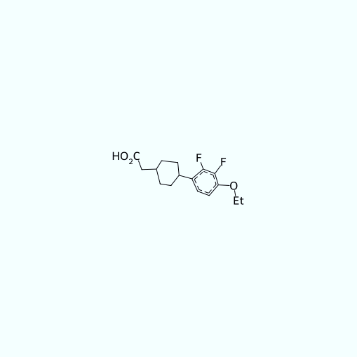 CCOc1ccc(C2CCC(CC(=O)O)CC2)c(F)c1F